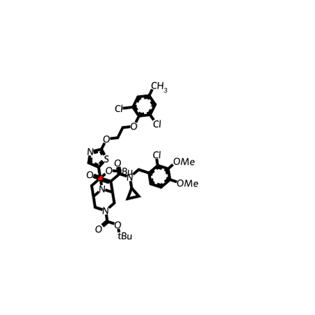 COc1ccc(CN(C(=O)C2=C(c3cnc(OCCOc4c(Cl)cc(C)cc4Cl)s3)CC3CN(C(=O)OC(C)(C)C)CC2N3C(=O)OC(C)(C)C)C2CC2)c(Cl)c1OC